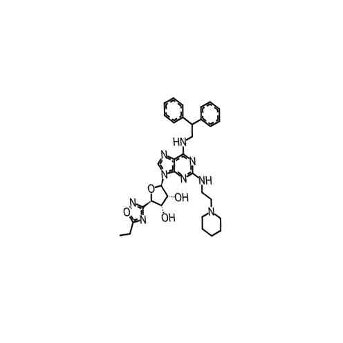 CCc1nc([C@H]2O[C@@H](n3cnc4c(NCC(c5ccccc5)c5ccccc5)nc(NCCN5CCCCC5)nc43)[C@H](O)[C@@H]2O)no1